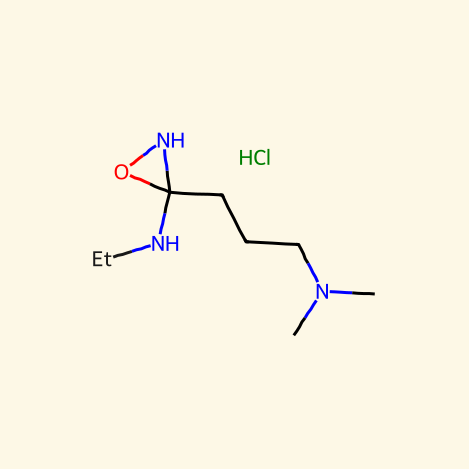 CCNC1(CCCN(C)C)NO1.Cl